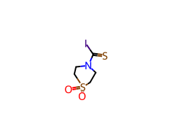 O=S1(=O)CCN(C(=S)I)CC1